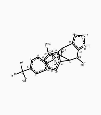 O=S(=O)(c1ccc(C(F)(F)F)cc1)N1C2c3cn[nH]c3C(F)C1c1cccc(F)c12